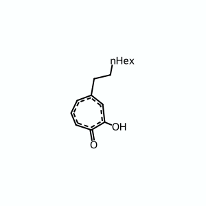 CCCCCCCCc1cccc(=O)c(O)c1